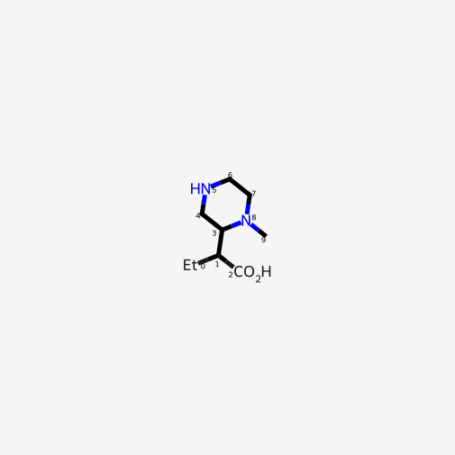 CCC(C(=O)O)C1CNCCN1C